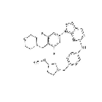 COC1CCN(Cc2ccc(Nc3ncc4ccn(-c5cc(F)c(CN6CCOCC6)c(F)c5)c4n3)cc2)C1